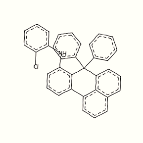 Clc1ccccc1Nc1cccc2c1C(c1ccccc1)(c1ccccc1)c1cccc3cccc-2c13